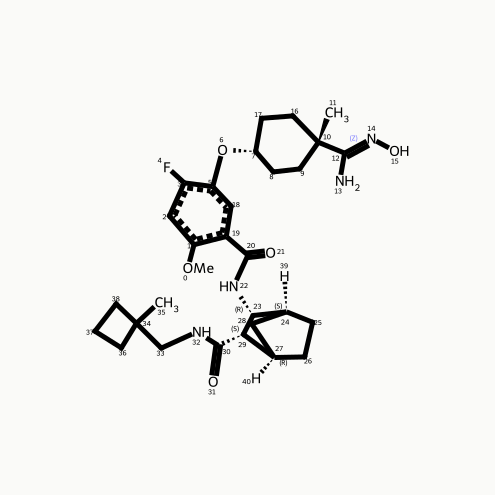 COc1cc(F)c(O[C@H]2CC[C@@](C)(/C(N)=N/O)CC2)cc1C(=O)N[C@@H]1[C@H]2CC[C@H](C2)[C@@H]1C(=O)NCC1(C)CCC1